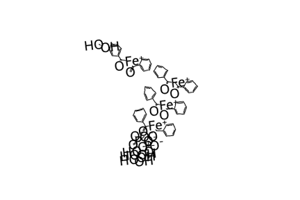 O=P([O-])([O-])OP(=O)([O-])[O-].O=[C]([Fe+][C](=O)c1ccccc1)c1ccccc1.O=[C]([Fe+][C](=O)c1ccccc1)c1ccccc1.O=[C]([Fe+][C](=O)c1ccccc1)c1ccccc1.O=[C]([Fe+][C](=O)c1ccccc1)c1ccccc1.OO.OO.OO.OO